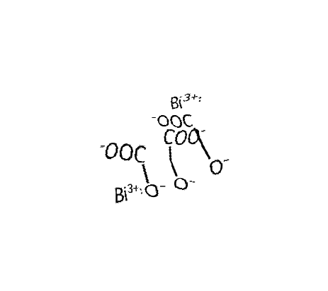 O=C([O-])[O-].O=C([O-])[O-].O=C([O-])[O-].[Bi+3].[Bi+3]